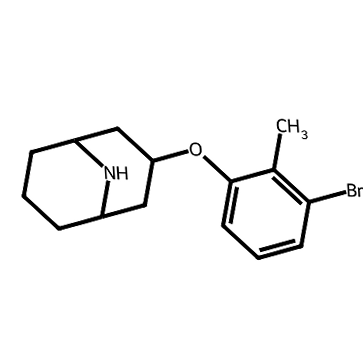 Cc1c(Br)cccc1OC1CC2CCCC(C1)N2